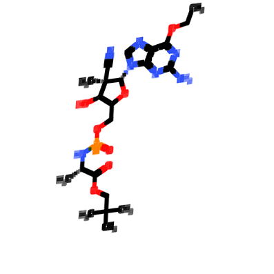 CCOc1nc(N)nc2c1ncn2[C@@H]1OC(CO[PH](=O)N[C@@H](C)C(=O)OCC(C)(C)C)[C@@H](O)[C@@]1(C)C#N